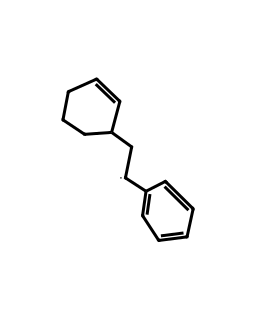 [CH](CC1C=CCCC1)c1ccccc1